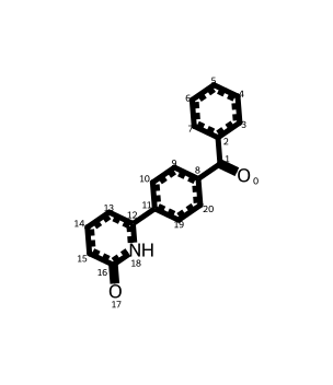 O=C(c1ccccc1)c1ccc(-c2cccc(=O)[nH]2)cc1